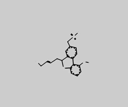 COc1cccc2c1-c1ccc(CS(N)(=O)=O)cc1C(CC=CCO)O2